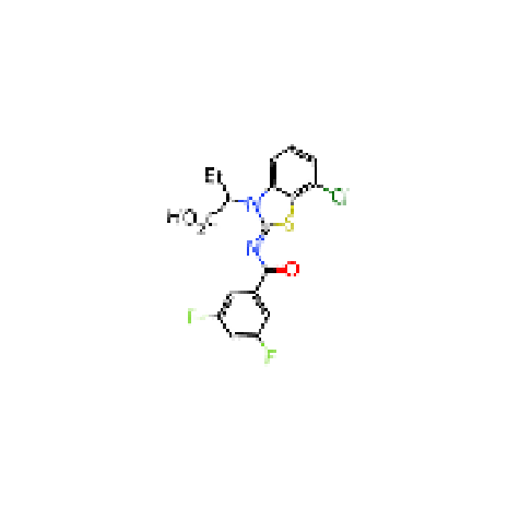 CCC(C(=O)O)n1c(=NC(=O)c2cc(F)cc(F)c2)sc2c(Cl)cccc21